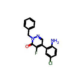 Nc1ccc(Cl)cc1-c1cnn(Cc2ccccc2)c(=O)c1F